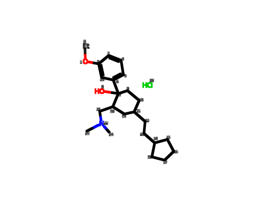 CCOc1cccc(C2(O)CCC(CCC3CCCC3)CC2CN(C)C)c1.Cl